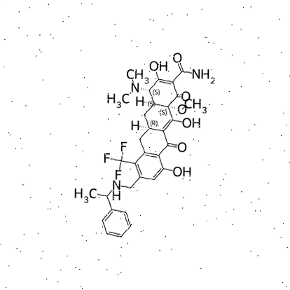 CO[C@@]12C(=O)C(C(N)=O)=C(O)[C@@H](N(C)C)[C@@H]1C[C@@H]1Cc3c(c(O)cc(CNC(C)c4ccccc4)c3C(F)(F)F)C(=O)C1=C2O